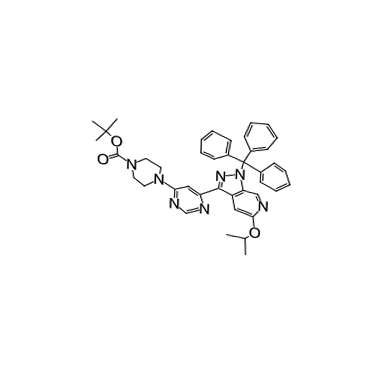 CC(C)Oc1cc2c(-c3cc(N4CCN(C(=O)OC(C)(C)C)CC4)ncn3)nn(C(c3ccccc3)(c3ccccc3)c3ccccc3)c2cn1